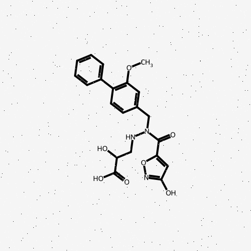 COc1cc(CN(NCC(O)C(=O)O)C(=O)c2cc(O)no2)ccc1-c1ccccc1